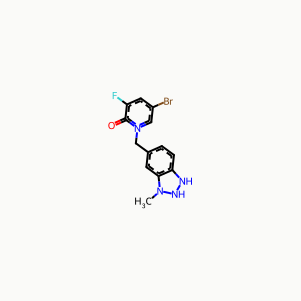 CN1NNc2ccc(Cn3cc(Br)cc(F)c3=O)cc21